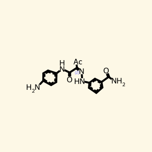 CC(=O)/C(=N/Nc1cccc(C(N)=O)c1)C(=O)Nc1ccc(N)cc1